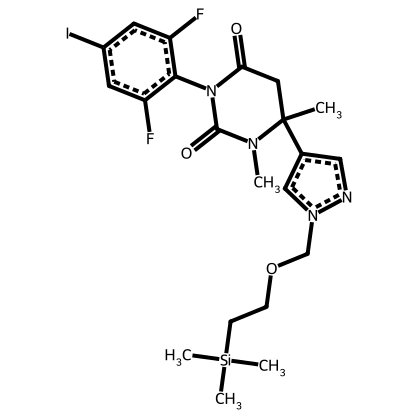 CN1C(=O)N(c2c(F)cc(I)cc2F)C(=O)CC1(C)c1cnn(COCC[Si](C)(C)C)c1